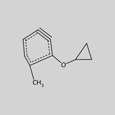 Cc1ccc#cc1OC1CC1